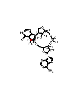 Nc1ncnc2c1ncn2[C@@H]1OC2COP(=O)(O)O[C@]3(n4cc(F)c5c(=O)[nH]cnc54)CO[C@H](COP(=O)(S)O[C@H]2[C@H]1F)[C@H]3O